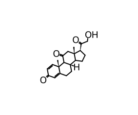 C[C@]12C=CC(=O)C=C1CC[C@@H]1C2C(=O)C[C@@]2(C)C1CC[C@@H]2C(=O)CO